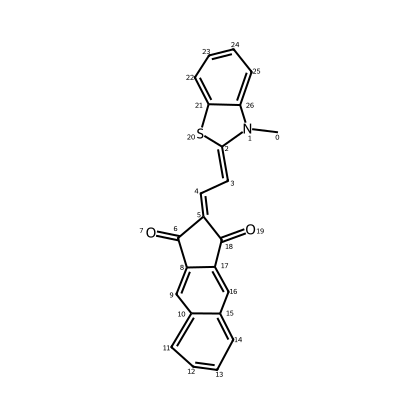 CN1/C(=C/C=C2C(=O)c3cc4ccccc4cc3C2=O)Sc2ccccc21